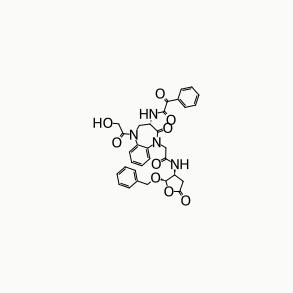 O=C(CN1C(=O)[C@@H](NC(=O)C(=O)c2ccccc2)CN(C(=O)CO)c2ccccc21)N[C@H]1CC(=O)O[C@H]1OCc1ccccc1